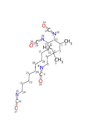 CC(CC(C)(C)CCN=C=O)C(N=C=O)C(CCCCCCCCCN=C=O)N=C=O